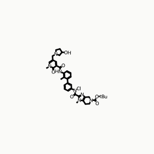 Cc1c(NC(=O)c2cc(CN3CCC(O)C3)cn(C)c2=O)cccc1-c1cccc(N(Cl)C(=O)c2nc3c(n2C)CCN(C(=O)OC(C)(C)C)C3)c1